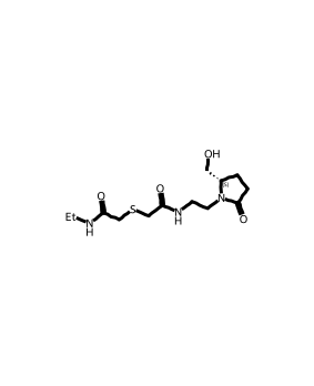 CCNC(=O)CSCC(=O)NCCN1C(=O)CC[C@H]1CO